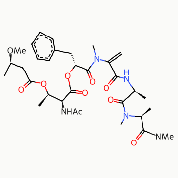 C=C(C(=O)N[C@@H](C)C(=O)N(C)[C@@H](C)C(=O)NC)N(C)C(=O)[C@@H](Cc1ccccc1)OC(=O)[C@@H](NC(C)=O)[C@@H](C)OC(=O)C[C@@H](C)OC